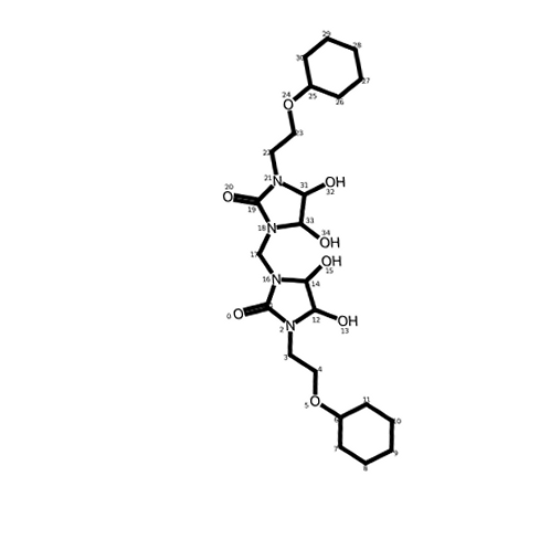 O=C1N(CCOC2CCCCC2)C(O)C(O)N1CN1C(=O)N(CCOC2CCCCC2)C(O)C1O